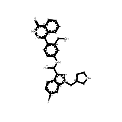 O=c1[nH]nc(-c2ccc(NC(O)c3nn(CC4CCOC4)c4cc(F)ccc34)cc2CO)c2ccccc12